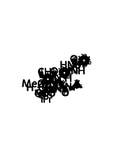 C=Cc1cc(C(=O)Nc2ccc(C(=N)NC(=O)Oc3ccccc3)cc2)c(-c2ccc(C(=O)NCC3CC3)nc2C(=O)OC(C)OC(=O)C(C)C)cc1OC